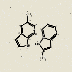 Cc1cc2ccccc2[nH]1.Cc1ccc2[nH]ccc2c1